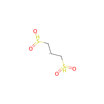 O=[SH](=O)C[CH]C[SH](=O)=O